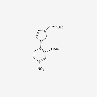 CCCCCCCCCCCN1C=CN(c2ccc([N+](=O)[O-])cc2OC)C1.I